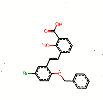 O=C(O)c1cccc(C=Cc2cc(Br)ccc2OCc2ccccc2)c1O